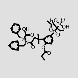 CCOP(=O)(c1ccc(OC(=O)CC)c(C(C)(C)CC(=O)N(Cc2ccccc2)[C@@H](Cc2ccccc2)C(=O)O)c1)C(CC)(CC)P(=O)(O)O